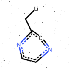 [Li][CH2]c1cnccn1